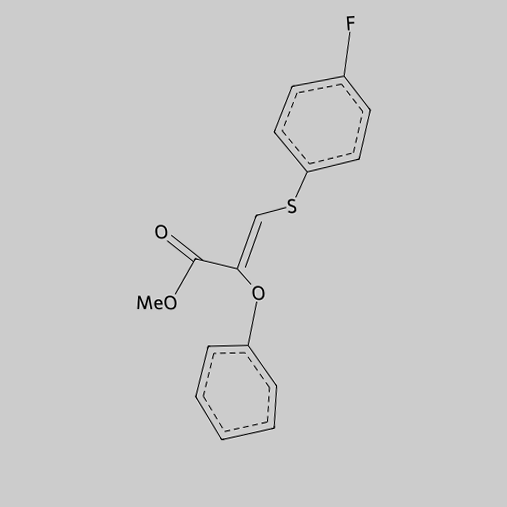 COC(=O)C(=CSc1ccc(F)cc1)Oc1ccccc1